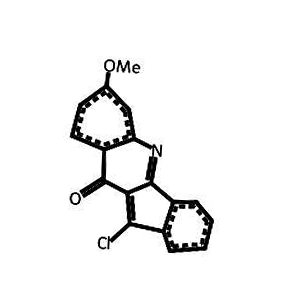 COc1ccc2c(c1)N=C1C(=C(Cl)c3ccccc31)C2=O